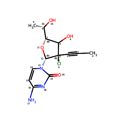 CC#C[C@@]1(Cl)C(O)[C@@H]([C@H](C)O)O[C@H]1n1ccc(N)nc1=O